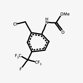 COC(=O)Nc1ccc(C(F)(C(F)(F)F)C(F)(F)F)cc1CCl